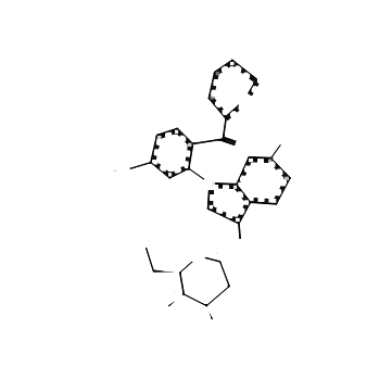 COc1ccc(C(=O)c2ccccc2)c(-n2cc(O[C@H]3O[C@H](CO)[C@H](O)[C@H](O)[C@H]3O)c3ccc(Cl)cc32)c1